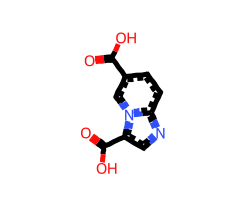 O=C(O)c1ccc2ncc(C(=O)O)n2c1